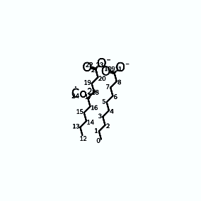 CCCCCCCCCC(=O)[O-].CCCCCCCCCC(=O)[O-].[Co+2]